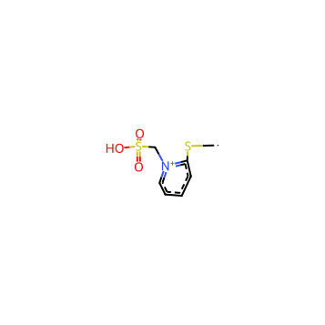 [CH2]Sc1cccc[n+]1CS(=O)(=O)O